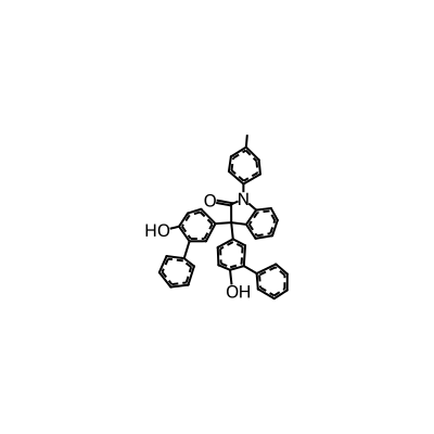 Cc1ccc(N2C(=O)C(c3ccc(O)c(-c4ccccc4)c3)(c3ccc(O)c(-c4ccccc4)c3)c3ccccc32)cc1